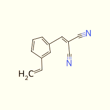 C=Cc1cccc(C=C(C#N)C#N)c1